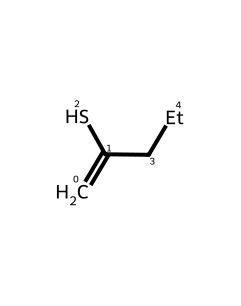 C=C(S)CCC